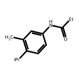 CCC(=O)Nc1ccc(C(C)C)c(C)c1